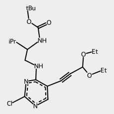 CCOC(C#Cc1cnc(Cl)nc1NCC(NC(=O)OC(C)(C)C)C(C)C)OCC